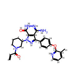 C=CC(=O)N1CCCC(n2nc(-c3ccc(Oc4ncccc4C)cc3)c3c(N)n[nH]c(=O)c32)C1